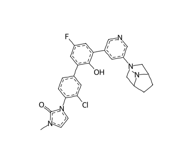 CN1C2CCC1CN(c1cncc(-c3cc(F)cc(-c4ccc(-n5ccn(C)c5=O)c(Cl)c4)c3O)c1)C2